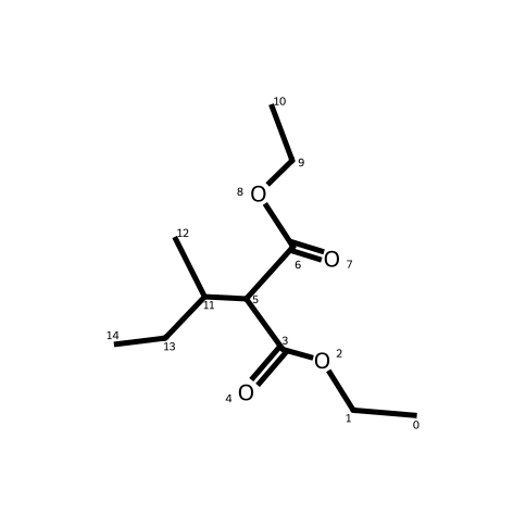 CCOC(=O)C(C(=O)OCC)C(C)CC